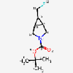 CC(C)(C)OC(=O)N1CC2C(CF)C2C1